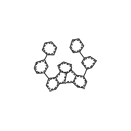 c1ccc(-c2cccc(-c3cncc4c3c3cccc5c6c(-c7cccc(-c8ccccc8)c7)cncc6n4c35)c2)cc1